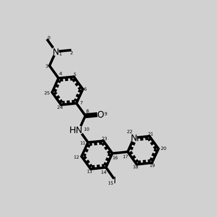 CN(C)Cc1ccc(C(=O)Nc2ccc(I)c(-c3ccccn3)c2)cc1